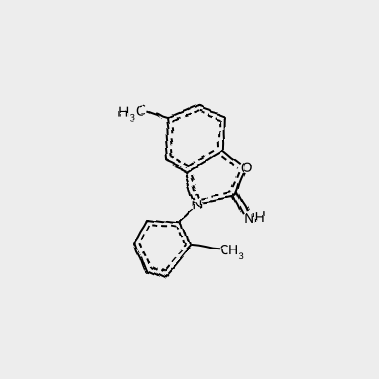 Cc1ccc2oc(=N)n(-c3ccccc3C)c2c1